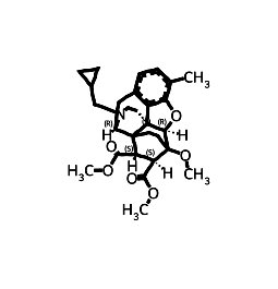 COC(=O)[C@H]1[C@H](C(=O)OC)C23CCC1(OC)[C@@H]1Oc4c(C)ccc5c4[C@@]12CCN(CC1CC1)[C@@H]3C5